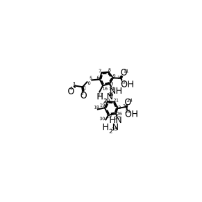 CC(=O)C=O.Cc1ccc(C(=O)O)c(NN)c1C.Cc1ccc(C(=O)O)c(NN)c1C